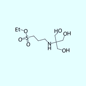 CCOS(=O)(=O)CCCNC(CO)(CO)CO